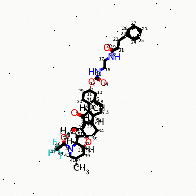 CC1=C2C(=O)[C@H]3[C@@H](CC=C4C[C@@H](OC(=O)NCCNC(=O)CCc5ccccc5)CC[C@@]43C)[C@@H]2CC[C@]12O[C@@H]1C[C@H](C)CN(C(=O)C(F)(F)F)[C@H]1[C@H]2C